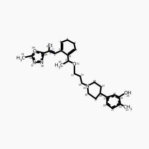 CC/C(=C\C1=CCCC=C1C(C)OCCCN1CCC(c2ccc(C)c(O)c2)CC1)c1nnc(C)o1